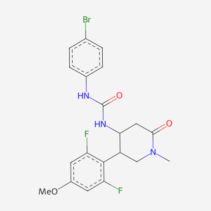 COc1cc(F)c(C2CN(C)C(=O)CC2NC(=O)Nc2ccc(Br)cc2)c(F)c1